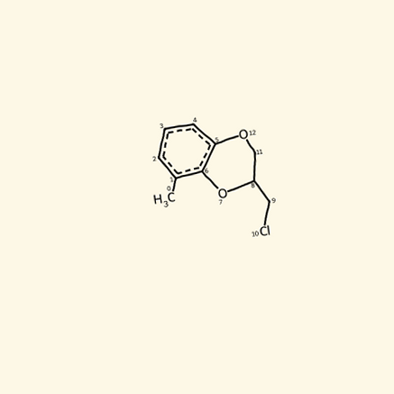 Cc1cccc2c1OC(CCl)CO2